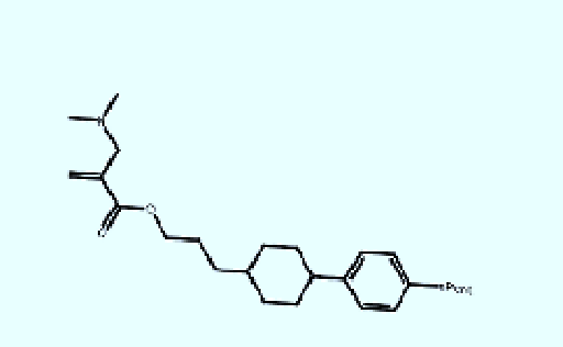 C=C(CN(C)C)C(=O)OCCCC1CCC(c2ccc(CCCCC)cc2)CC1